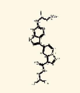 COC[C@H](C)Nc1ncc2c(-c3ccn4ncc(C(=O)NCC(F)F)c4c3)c[nH]c2n1